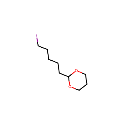 ICCCCCC1OCCCO1